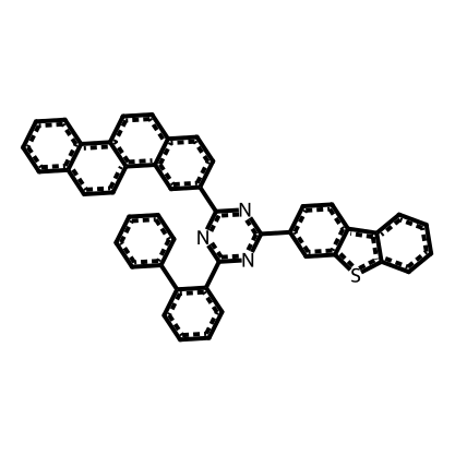 c1ccc(-c2ccccc2-c2nc(-c3ccc4c(c3)sc3ccccc34)nc(-c3ccc4ccc5c6ccccc6ccc5c4c3)n2)cc1